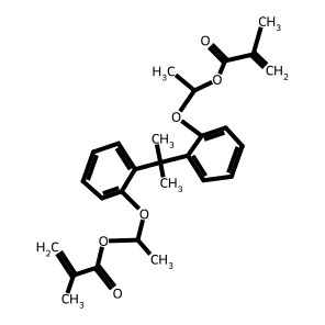 C=C(C)C(=O)OC(C)Oc1ccccc1C(C)(C)c1ccccc1OC(C)OC(=O)C(=C)C